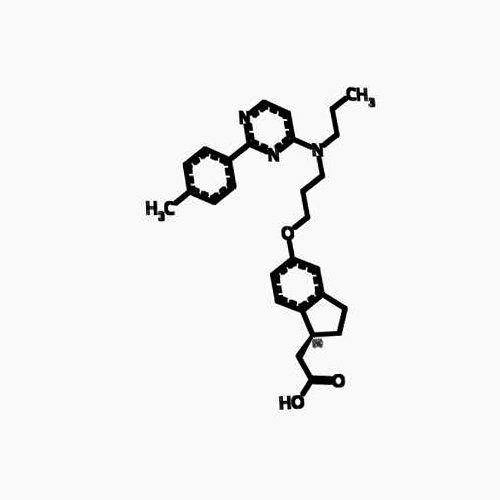 CCCN(CCCOc1ccc2c(c1)CC[C@H]2CC(=O)O)c1ccnc(-c2ccc(C)cc2)n1